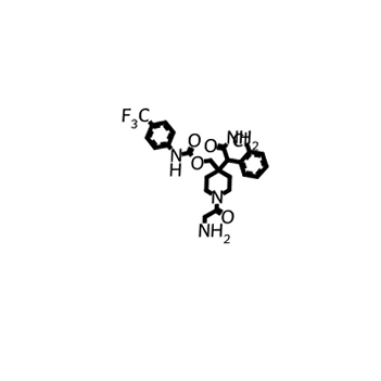 NCC(=O)N1CCC(COC(=O)Nc2ccc(C(F)(F)F)cc2)(C(C(N)=O)c2ccccc2Cl)CC1